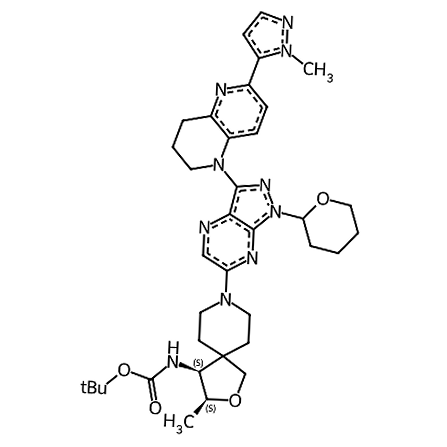 C[C@@H]1OCC2(CCN(c3cnc4c(N5CCCc6nc(-c7ccnn7C)ccc65)nn(C5CCCCO5)c4n3)CC2)[C@@H]1NC(=O)OC(C)(C)C